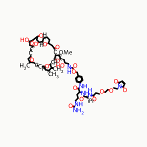 C=C1CC2CC[C@]34C[C@@H](O)C(O3)C3CC(O4)[C@H]4OC(CC[C@@H]4O3)CC(=O)CC3[C@H](CC4O[C@@H](CCC1O2)C[C@@H](C)C4=C)O[C@H](CC(O)CNC(=O)OCc1ccc(NC(=O)C(CCCNC(N)=O)NC(=O)[C@@H](NC(=O)CCOCCOCCN2C(=O)C=CC2=O)C(C)C)cc1)[C@@H]3OC